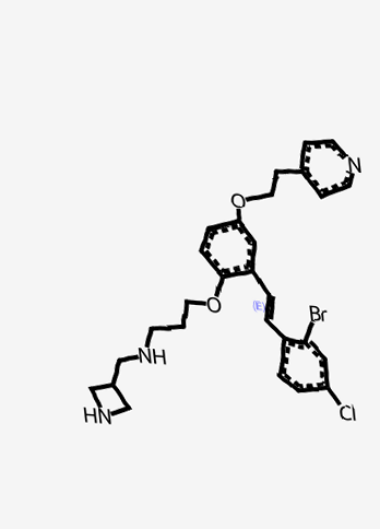 Clc1ccc(/C=C/c2cc(OCCc3ccncc3)ccc2OCCCNCC2CNC2)c(Br)c1